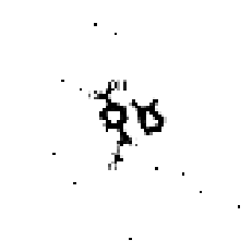 Cc1ccccc1C.O=COC(=O)c1ccc(C(=O)O)cc1